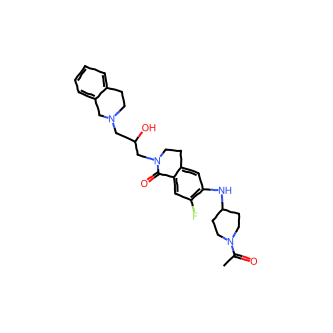 CC(=O)N1CCC(Nc2cc3c(cc2F)C(=O)N(CC(O)CN2CCc4ccccc4C2)CC3)CC1